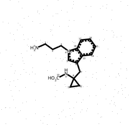 NCCCn1cc(CC2(NC(=O)O)CC2)c2ccccc21